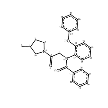 CC1CCN(C(=O)CN(C(=O)c2ccccc2)c2ccccc2Oc2ccccc2)C1